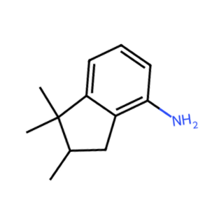 CC1Cc2c(N)cccc2C1(C)C